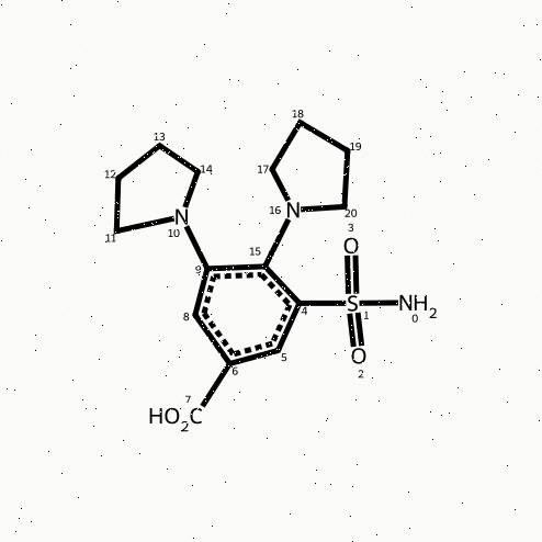 NS(=O)(=O)c1cc(C(=O)O)cc(N2CCCC2)c1N1CCCC1